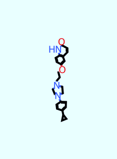 O=c1ccc2cc(OCCCN3CCN(c4ccc(C5CC5)cc4)CC3)ccc2[nH]1